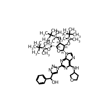 CC(C)(C)[Si](C)(C)OC[C@H]1O[C@@H](n2cnc3c(NC4CCOC4)nc(-n4cc(C(O)c5ccccc5)nn4)nc32)[C@H](O[Si](C)(C)C(C)(C)C)[C@@H]1O[Si](C)(C)C(C)(C)C